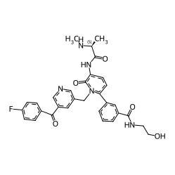 CN[C@@H](C)C(=O)Nc1ccc(-c2cccc(C(=O)NCCO)c2)n(Cc2cncc(C(=O)c3ccc(F)cc3)c2)c1=O